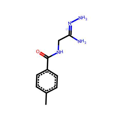 Cc1ccc(C(=O)NC/C(N)=N/N)cc1